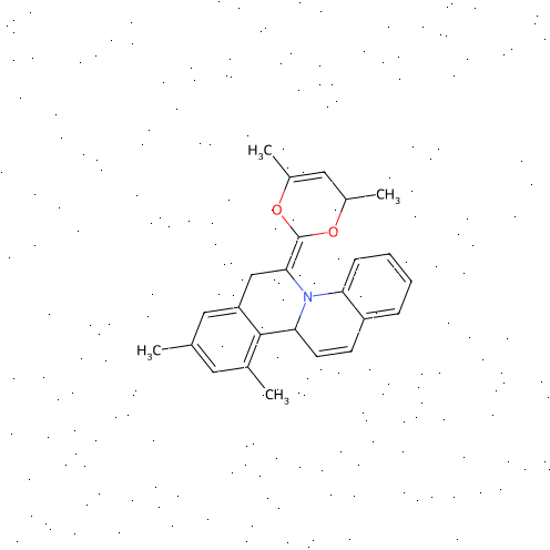 CC1=CC(C)O/C(=C2/Cc3cc(C)cc(C)c3C3C=Cc4ccccc4N23)O1